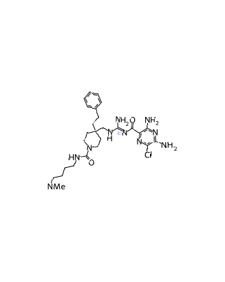 CNCCCCNC(=O)N1CCC(CCc2ccccc2)(CN/C(N)=N/C(=O)c2nc(Cl)c(N)nc2N)CC1